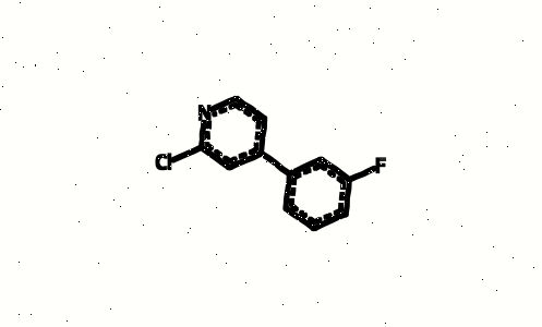 Fc1cccc(-c2ccnc(Cl)c2)c1